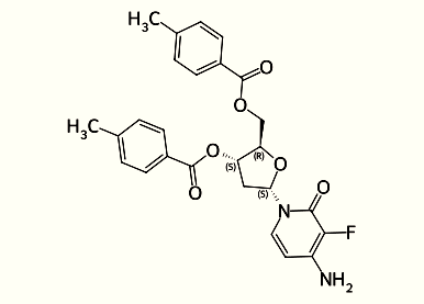 Cc1ccc(C(=O)OC[C@H]2O[C@H](n3ccc(N)c(F)c3=O)C[C@@H]2OC(=O)c2ccc(C)cc2)cc1